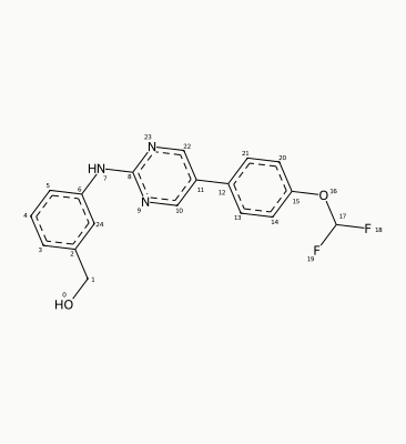 OCc1cccc(Nc2ncc(-c3ccc(OC(F)F)cc3)cn2)c1